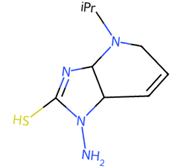 CC(C)N1CC=CC2C1N=C(S)N2N